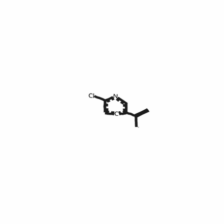 [CH2]C(=C)c1ccc(Cl)nc1